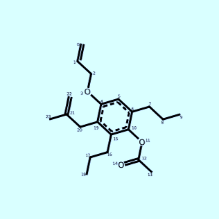 C=CCOc1cc(CCC)c(OC(C)=O)c(CCC)c1CC(=C)C